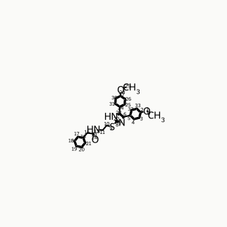 COc1ccc(-c2nc(SCCNC(=O)Cc3ccccc3)[nH]c2-c2ccc(OC)cc2)cc1